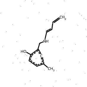 C=CC=CNCc1cc(C)ccc1O